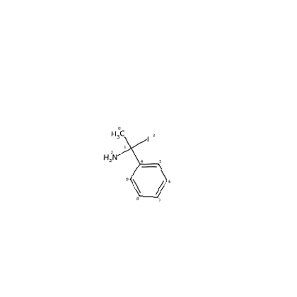 CC(N)(I)c1ccccc1